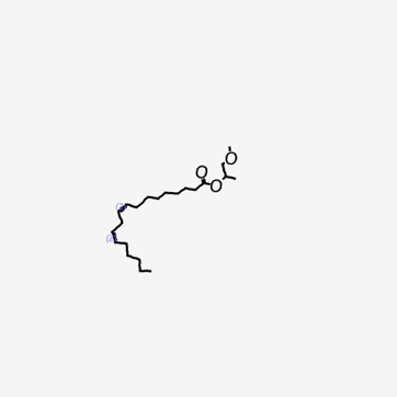 CCCCC/C=C\C/C=C\CCCCCCCC(=O)OC(C)COC